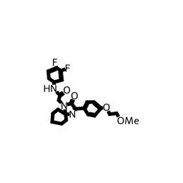 COCCOc1ccc(C2=NC3(CCCCC3)N(CC(=O)NC3C=C(F)C(F)=CC3)C2=O)cc1